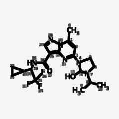 Cc1cc(N2CCN(C(C)C)C2O)nc2c(C(=O)N[C@H](C3CC3)C(F)(F)F)cnn12